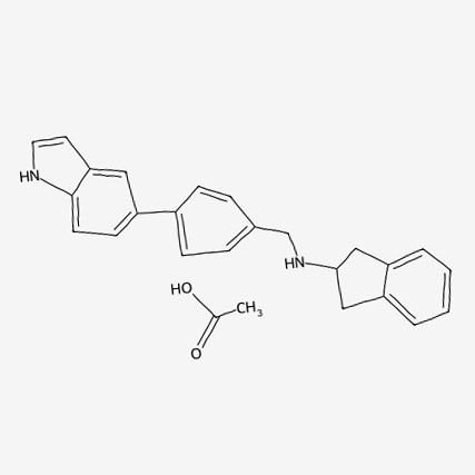 CC(=O)O.c1ccc2c(c1)CC(NCc1ccc(-c3ccc4[nH]ccc4c3)cc1)C2